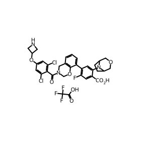 O=C(O)C(F)(F)F.O=C(O)c1cc(F)c(-c2cccc3c2OCN(C(=O)c2c(Cl)cc(OC4CNC4)cc2Cl)C3)cc1N1C2CCC1COC2